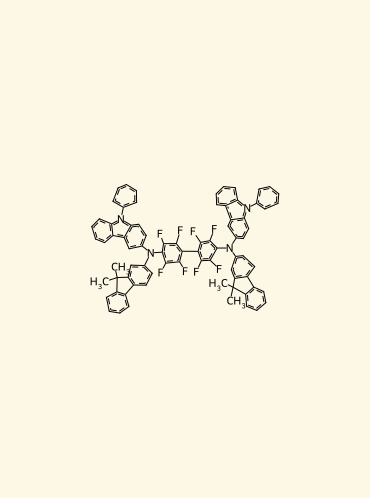 CC1(C)c2ccccc2-c2ccc(N(c3ccc4c(c3)c3ccccc3n4-c3ccccc3)c3c(F)c(F)c(-c4c(F)c(F)c(N(c5ccc6c(c5)C(C)(C)c5ccccc5-6)c5ccc6c(c5)c5ccccc5n6-c5ccccc5)c(F)c4F)c(F)c3F)cc21